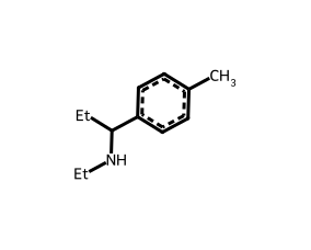 CCNC(CC)c1ccc(C)cc1